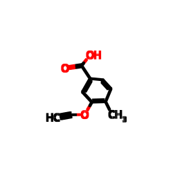 C#COc1cc(C(=O)O)ccc1C